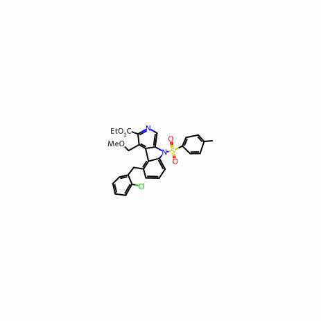 CCOC(=O)c1ncc2c(c1COC)c1c(Cc3ccccc3Cl)cccc1n2S(=O)(=O)c1ccc(C)cc1